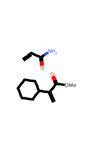 C=C(C(=O)OC)C1CCCCC1.C=CC(N)=O